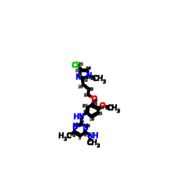 CNc1cc(C)nc(Nc2ccc(OC)c(OCCCc3nc(Cl)cn3C)c2)n1